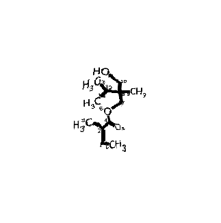 CC=C(C)C(=O)OCC(C)(CO)C(C)C